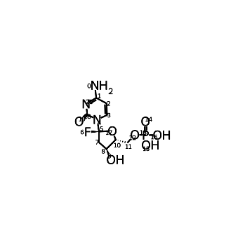 Nc1ccn([C@@]2(F)C[C@H](O)[C@@H](COP(=O)(O)O)O2)c(=O)n1